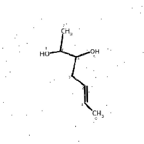 C/C=C/CC(O)C(C)O